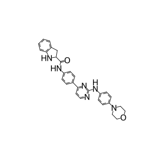 O=C(Nc1ccc(-c2ccnc(Nc3ccc(N4CCOCC4)cc3)n2)cc1)C1Cc2ccccc2N1